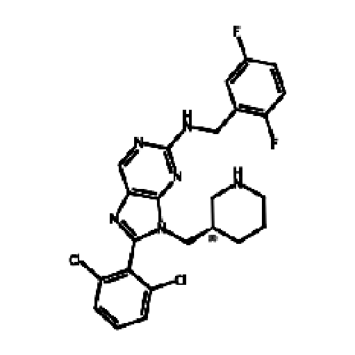 Fc1ccc(F)c(CNc2ncc3nc(-c4c(Cl)cccc4Cl)n(C[C@@H]4CCCNC4)c3n2)c1